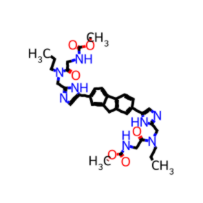 CCCN(Cc1ncc(-c2ccc3c(c2)Cc2cc(-c4cnc(CN(CCC)C(=O)CNC(=O)OC)[nH]4)ccc2-3)[nH]1)C(=O)CNC(=O)OC